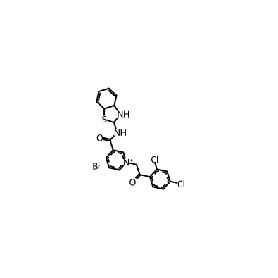 O=C(NC1NC2C=CC=CC2S1)c1ccc[n+](CC(=O)c2ccc(Cl)cc2Cl)c1.[Br-]